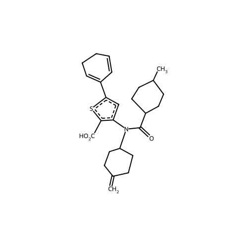 C=C1CCC(N(C(=O)C2CCC(C)CC2)c2cc(C3=CCCC=C3)sc2C(=O)O)CC1